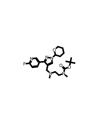 CN(CCN(C)C(=O)OC(C)(C)C)Cc1cn(C2CCCCO2)nc1-c1ccc(F)nc1